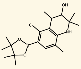 Cc1cc(B2OC(C)(C)C(C)(C)O2)c(Cl)c2c1NC(C)(C)C(O)C2C